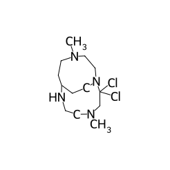 CN1CCC2CCN(CC1)C(Cl)(Cl)CN(C)CCN2